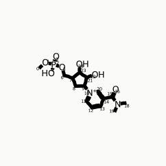 COP(=O)(O)OCC1CC([n+]2cccc(C(=O)N(C)C)c2)C(O)C1O